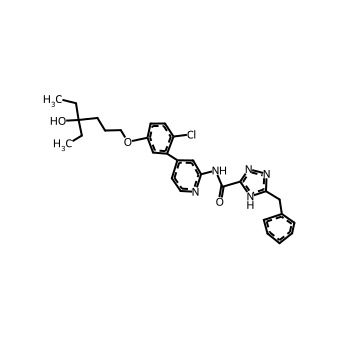 CCC(O)(CC)CCCOc1ccc(Cl)c(-c2ccnc(NC(=O)c3nnc(Cc4ccccc4)[nH]3)c2)c1